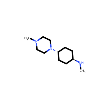 CN[C@H]1CC[C@H](N2CCN(C)CC2)CC1